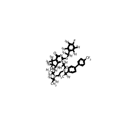 [2H]c1c([2H])c(C([2H])([2H])Sc2nc(=O)c3c(n2C([2H])([2H])C(=O)N(CCN(C([2H])([2H])C)C([2H])([2H])C)C([2H])(C)c2ccc(-c4ccc(C(F)(F)F)cc4)cc2)C([2H])([2H])C([2H])(C)C3([2H])[2H])c([2H])c([2H])c1F